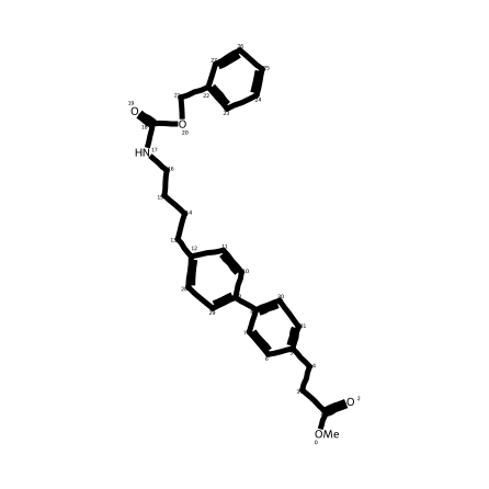 COC(=O)CCc1ccc(-c2ccc(CCCCNC(=O)OCc3ccccc3)cc2)cc1